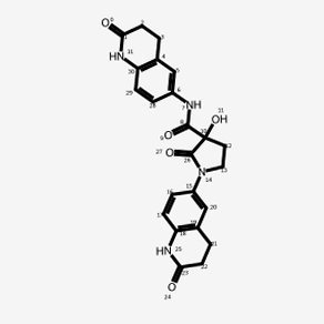 O=C1CCc2cc(NC(=O)C3(O)CCN(c4ccc5c(c4)CCC(=O)N5)C3=O)ccc2N1